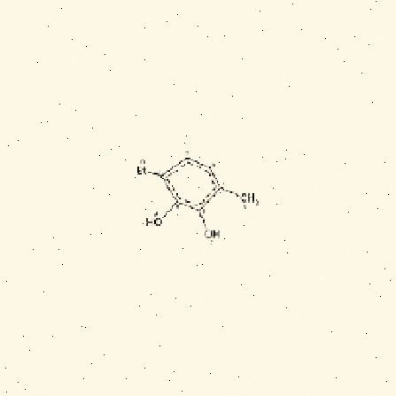 CCc1ccc(C)c(O)c1O